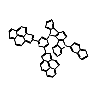 c1ccc2cc(-n3c4ccccc4c4c3ccc3c5ccccc5n(-c5cc(-c6cc7ccc8cccc9ccc(c6)c7c89)nc(-c6cc7ccc8cccc9ccc(c6)c7c89)c5)c34)ccc2c1